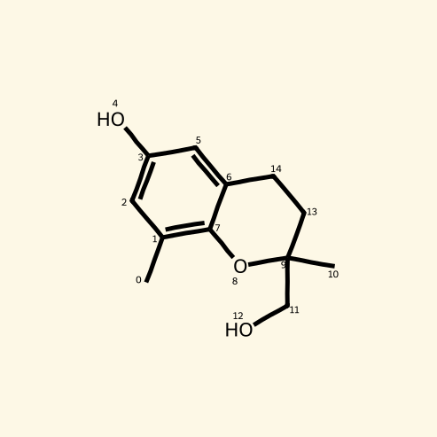 Cc1cc(O)cc2c1OC(C)(CO)CC2